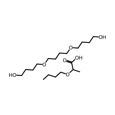 CCCCOC(C)C(=O)O.OCCCCOCCCCOCCCCO